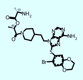 C[C@H](N)C(=O)O[C@H](C)C(=O)N1CCC(CCn2c(Sc3cc4c(cc3Br)OCCO4)nc3c(N)ncnc32)CC1